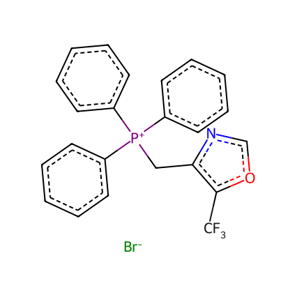 FC(F)(F)c1ocnc1C[P+](c1ccccc1)(c1ccccc1)c1ccccc1.[Br-]